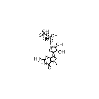 CN1CN([C@@H]2O[C@H](COP(=O)(O)OP(O)(O)=S)[C@@H](O)[C@H]2O)c2nc(N)[nH]c(=O)c21